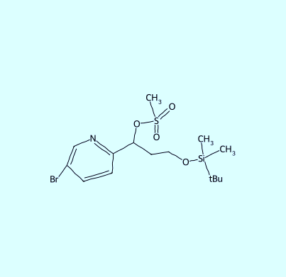 CC(C)(C)[Si](C)(C)OCCC(OS(C)(=O)=O)c1ccc(Br)cn1